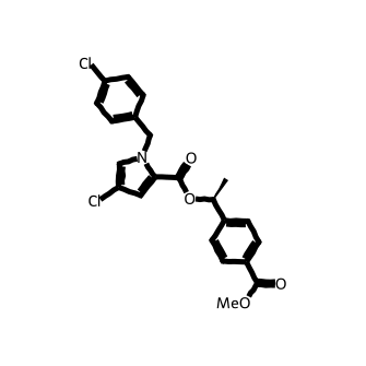 COC(=O)c1ccc([C@H](C)OC(=O)c2cc(Cl)cn2Cc2ccc(Cl)cc2)cc1